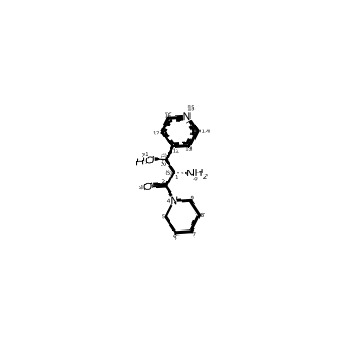 N[C@H](C(=O)N1CCCCC1)[C@@H](O)c1ccncc1